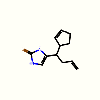 C=CCC(c1c[nH]c(=S)[nH]1)C1C=CCC1